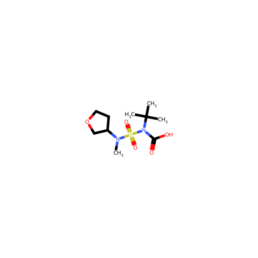 CN(C1CCOC1)S(=O)(=O)N(C(=O)O)C(C)(C)C